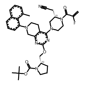 C=C(F)C(=O)N1CCN(c2nc(OC[C@@H]3CCCN3C(=O)OC(C)(C)C)nc3c2CCN(c2cccc4cccc(C)c24)C3)C[C@@H]1CC#N